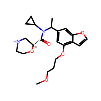 COCCCOc1cc(C(C)N(C(=O)[C@H]2CNCCO2)C2CC2)cc2occc12